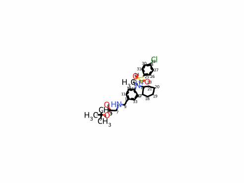 CC(C)(C)OC(=O)CNCc1ccc([N+](C)(C2CCCCC2)S(=O)(=O)c2ccc(Cl)cc2)cc1